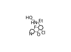 CC[C@@H](NCCO)c1ccc(Cl)c(C(=O)c2cccnc2)c1F